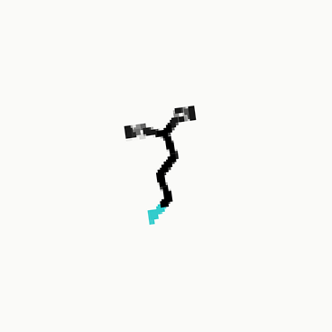 N#CC(C#N)CCCF